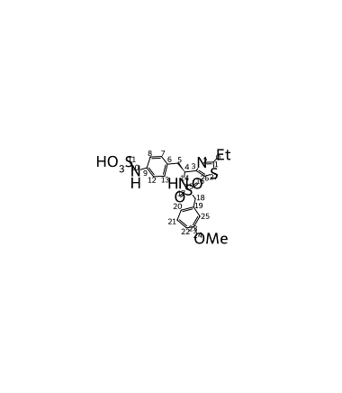 CCc1nc([C@H](Cc2ccc(NS(=O)(=O)O)cc2)NS(=O)(=O)Cc2cccc(OC)c2)cs1